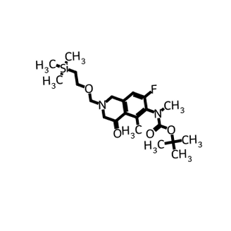 Cc1c2c(cc(F)c1N(C)C(=O)OC(C)(C)C)CN(COCC[Si](C)(C)C)CC2=O